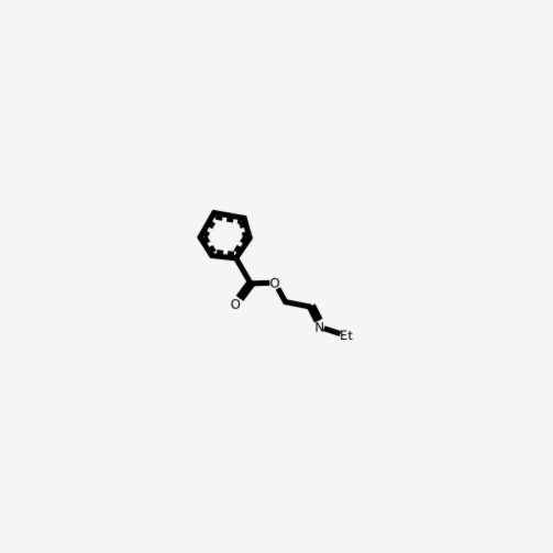 CCN=CCOC(=O)c1ccccc1